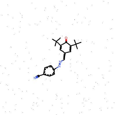 CC(C)(C)C1=CC(=CN=Nc2ccc(C#N)cc2)C=C(C(C)(C)C)C1=O